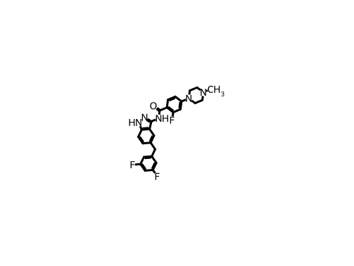 CN1CCN(c2ccc(C(=O)Nc3n[nH]c4ccc(Cc5cc(F)cc(F)c5)cc34)c(F)c2)CC1